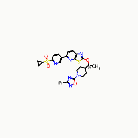 CC(C)c1noc(N2CCC([C@H](C)Oc3nc4ccc(-c5ccc(S(=O)(=O)C6CC6)nc5)nc4s3)CC2)n1